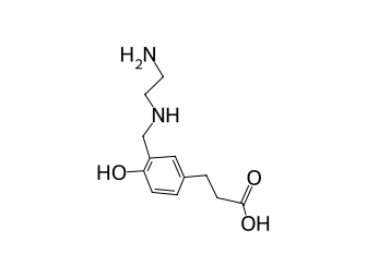 NCCNCc1cc(CCC(=O)O)ccc1O